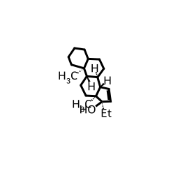 CC[C@@]1(O)C=C[C@H]2[C@@H]3CCC4CCCC[C@]4(C)[C@H]3CC[C@@]21C